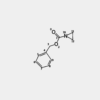 O=C(OCc1ccccc1)N1CC1